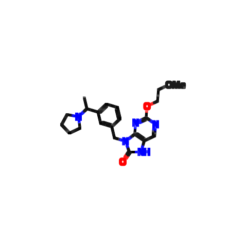 COCCOc1ncc2[nH]c(=O)n(Cc3cccc(C(C)N4CCCC4)c3)c2n1